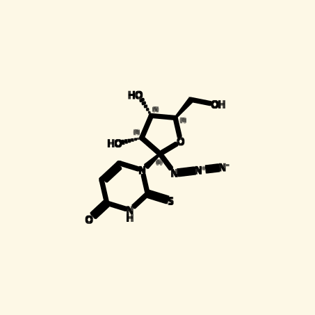 [N-]=[N+]=N[C@@]1(n2ccc(=O)[nH]c2=S)O[C@H](CO)[C@@H](O)[C@H]1O